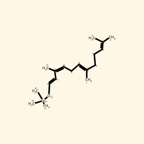 CC(C)=CCCC(C)=CCC=C(C)C=CO[Si](C)(C)C